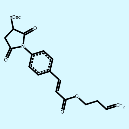 C=CCCOC(=O)C=Cc1ccc(N2C(=O)CC(CCCCCCCCCC)C2=O)cc1